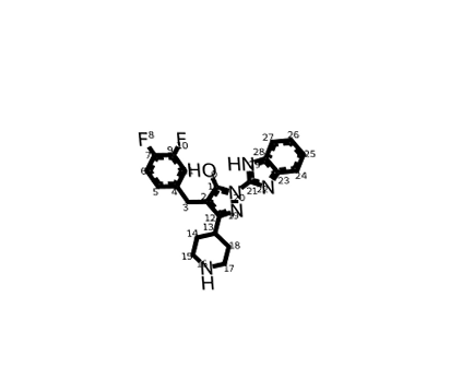 Oc1c(Cc2ccc(F)c(F)c2)c(C2CCNCC2)nn1-c1nc2ccccc2[nH]1